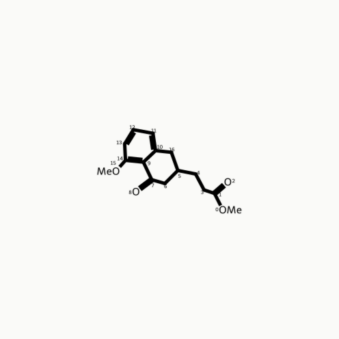 COC(=O)CCC1CC(=O)c2c(cccc2OC)C1